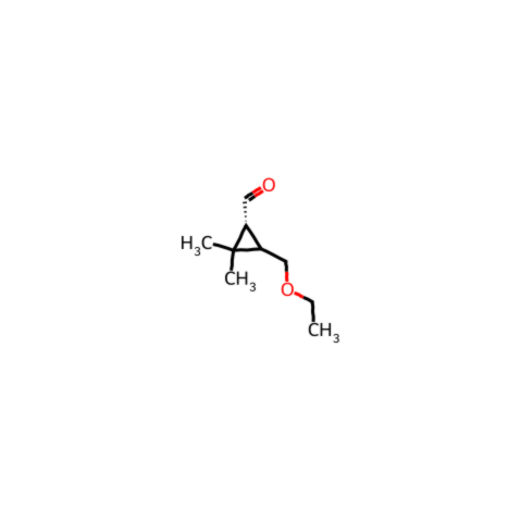 CCOCC1[C@@H](C=O)C1(C)C